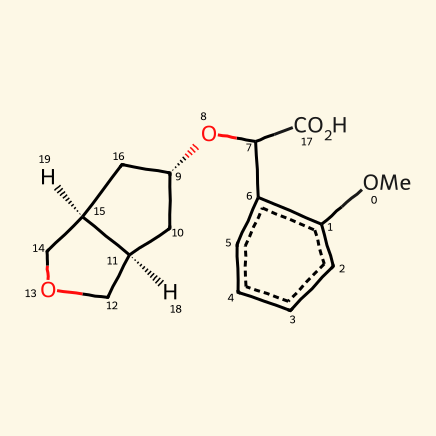 COc1ccccc1C(O[C@@H]1C[C@H]2COC[C@H]2C1)C(=O)O